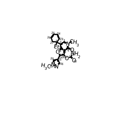 CCC1(c2cn(C)c(=O)c3c(OC(N)=O)c(-c4cnn(C)c4)oc23)C=CC=CC1